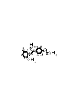 C=C1C=CC(I)=CN1/C=C(\C)c1ccc(OCC)cc1